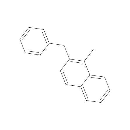 Cc1c(Cc2ccccc2)ccc2ccccc12